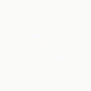 CC(C/N=N/C(C)(C)C)OC(=O)OC(C)C/N=N/C(C)(C)C